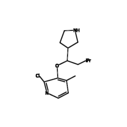 Cc1ccnc(Cl)c1OC(CC(C)C)C1CCNC1